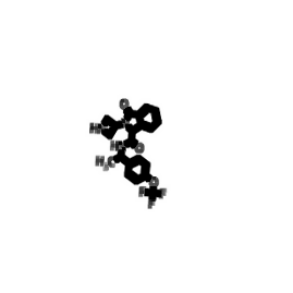 CC(NC(=O)C1c2ccccc2C(=O)N1C1CNC1)c1ccc(OC(F)(F)F)cc1